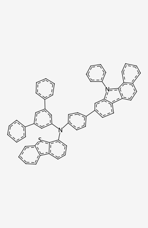 c1ccc(-c2cc(-c3ccccc3)cc(N(c3ccc(-c4ccc5c6ccc7ccccc7c6n(-c6ccccc6)c5c4)cc3)c3cccc4c3sc3ccccc34)c2)cc1